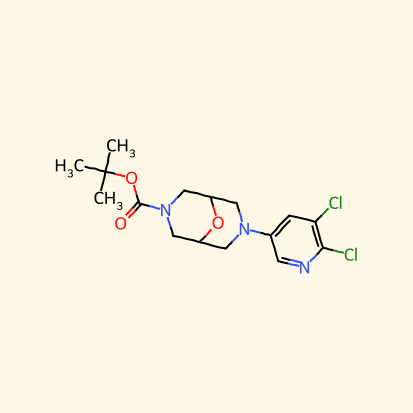 CC(C)(C)OC(=O)N1CC2CN(c3cnc(Cl)c(Cl)c3)CC(C1)O2